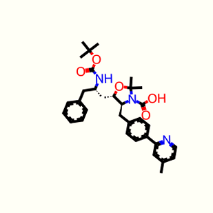 Cc1ccnc(-c2ccc(C[C@H]3[C@H](C[C@H](Cc4ccccc4)NC(=O)OC(C)(C)C)OC(C)(C)N3C(=O)O)cc2)c1